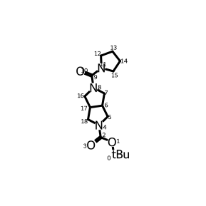 CC(C)(C)OC(=O)N1CC2CN(C(=O)N3CCCC3)CC2C1